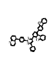 c1ccc(-c2cc(-c3ccc(-c4ccc5c(c4)oc4ccccc45)c4c3oc3ccccc34)nc(-c3ccc(-c4cccc5ncccc45)cc3)n2)cc1